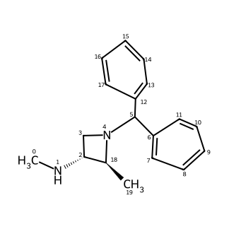 CN[C@@H]1CN(C(c2ccccc2)c2ccccc2)[C@H]1C